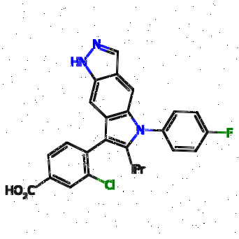 CC(C)c1c(-c2ccc(C(=O)O)cc2Cl)c2cc3[nH]ncc3cc2n1-c1ccc(F)cc1